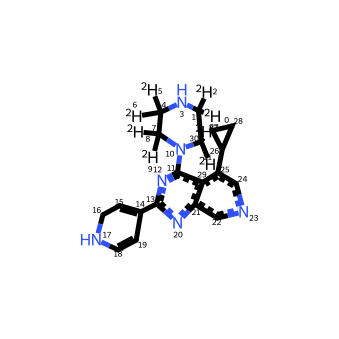 [2H]C1([2H])NC([2H])([2H])C([2H])([2H])N(c2nc(C3=CCN[C]=C3)nc3cncc(C4CC4)c23)C1([2H])[2H]